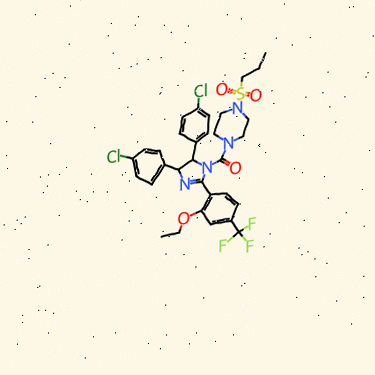 CCCS(=O)(=O)N1CCN(C(=O)N2C(c3ccc(C(F)(F)F)cc3OCC)=NC(c3ccc(Cl)cc3)C2c2ccc(Cl)cc2)CC1